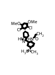 C=CC(=O)Nc1ccc(N(C)C)cc1-c1n[nH]c2c1CC[C@@H](c1c(Cl)c(OC)cc(OC)c1Cl)C2